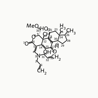 C=CCN(/C=C1/C(=O)O[C@H](COC)[C@@]2(C)C1=C(O)C(=O)C1=C2[C@H](O)C[C@]2(C)C(C)CC[C@@H]12)CC=C